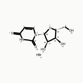 Br.O=c1ccn([C@@H]2O[C@H](CO)[C@@H](O)[C@H]2O)c(=O)[nH]1